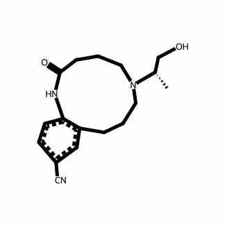 C[C@@H](CO)N1CCCC(=O)Nc2ccc(C#N)cc2CCC1